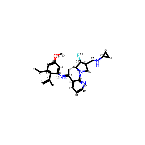 C=C(C)c1c(CC)cc(OC)cc1/N=C(\C)c1cccnc1N1CC(F)C(CNC2CC2)C1